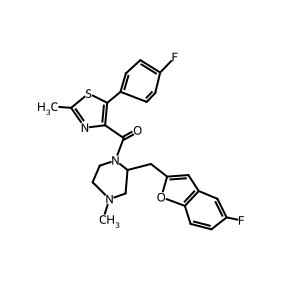 Cc1nc(C(=O)N2CCN(C)CC2Cc2cc3cc(F)ccc3o2)c(-c2ccc(F)cc2)s1